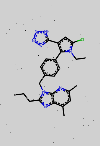 CCCc1nc2c(C)cc(C)nc2n1Cc1ccc(-c2c(-c3nnn[nH]3)cc(Cl)n2CC)cc1